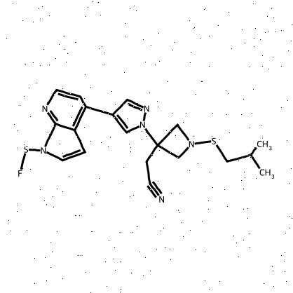 CC(C)CSN1CC(CC#N)(n2cc(-c3ccnc4c3ccn4SF)cn2)C1